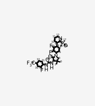 CC1(C)CN(c2ccc(-c3cccnc3P(C)(C)=O)c(F)c2F)C(=O)[C@@H]1NC(=O)Nc1ccc(C(F)(F)F)cc1F